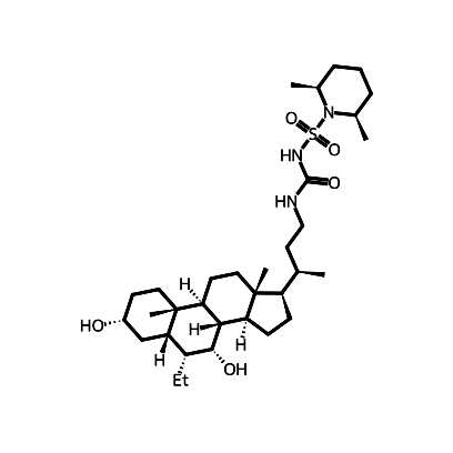 CC[C@H]1[C@@H](O)[C@@H]2[C@H](CC[C@]3(C)[C@@H]([C@H](C)CCNC(=O)NS(=O)(=O)N4[C@H](C)CCC[C@@H]4C)CC[C@@H]23)[C@@]2(C)CC[C@@H](O)C[C@@H]12